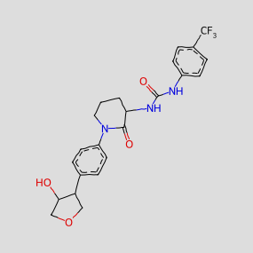 O=C(Nc1ccc(C(F)(F)F)cc1)NC1CCCN(c2ccc(C3COCC3O)cc2)C1=O